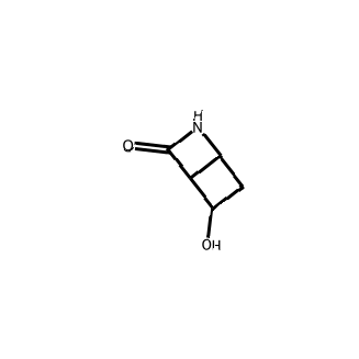 O=C1NC2CC(O)C12